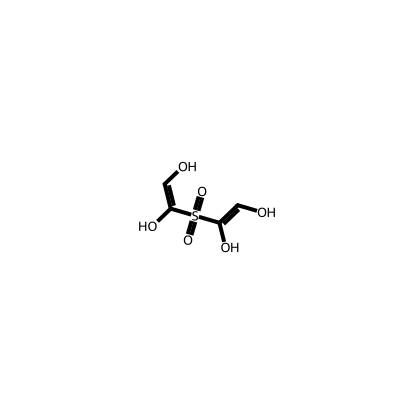 O=S(=O)(C(O)=CO)C(O)=CO